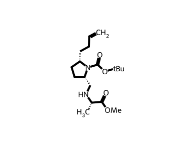 C=CCC[C@H]1CC[C@@H](CN[C@@H](C)C(=O)OC)N1C(=O)OC(C)(C)C